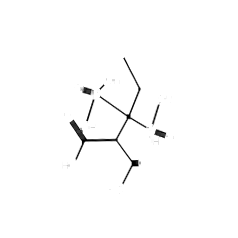 CCC(C(C(=O)O)C(=O)O)(P(=O)(O)O)P(=O)(O)O